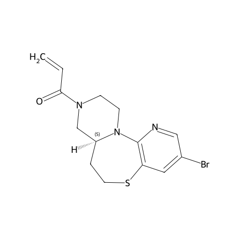 C=CC(=O)N1CCN2c3ncc(Br)cc3SCC[C@H]2C1